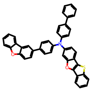 c1ccc(-c2ccc(N(c3ccc(-c4ccc5oc6ccccc6c5c4)cc3)c3ccc4c(c3)oc3c5ccccc5sc43)cc2)cc1